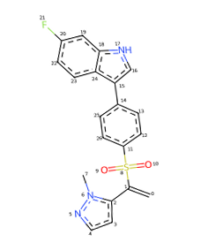 C=C(c1ccnn1C)S(=O)(=O)c1ccc(-c2c[nH]c3cc(F)ccc23)cc1